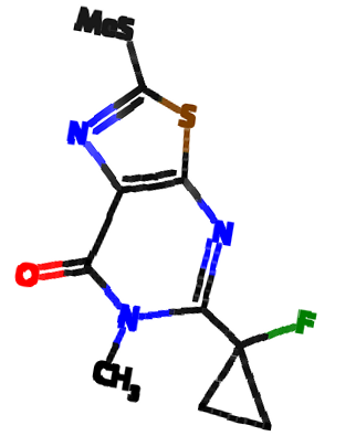 CSc1nc2c(=O)n(C)c(C3(F)CC3)nc2s1